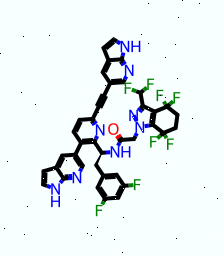 O=C(Cn1nc(C(F)F)c2c1C(F)(F)CCC2(F)F)N[C@@H](Cc1cc(F)cc(F)c1)c1nc(C#Cc2cnc3[nH]ccc3c2)ccc1-c1cnc2[nH]ccc2c1